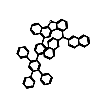 c1ccc(-c2cc(-c3ccccc3)c(-c3ccc(-c4cc5c(oc6cccc(N(c7ccc8ccccc8c7)c7ccc8ccccc8c7)c65)c5ccccc45)cc3)cc2-c2ccccc2)cc1